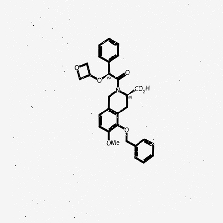 COc1ccc2c(c1OCc1ccccc1)C[C@H](C(=O)O)N(C(=O)[C@@H](OC1COC1)c1ccccc1)C2